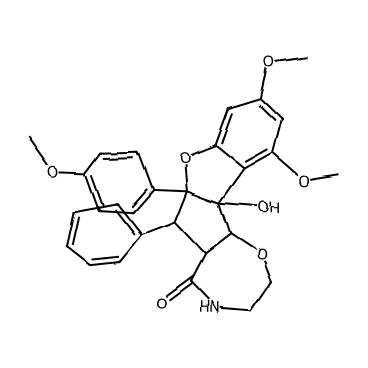 COc1ccc(C23Oc4cc(OC)cc(OC)c4C2(O)C2OCCNC(=O)C2C3c2ccccc2)cc1